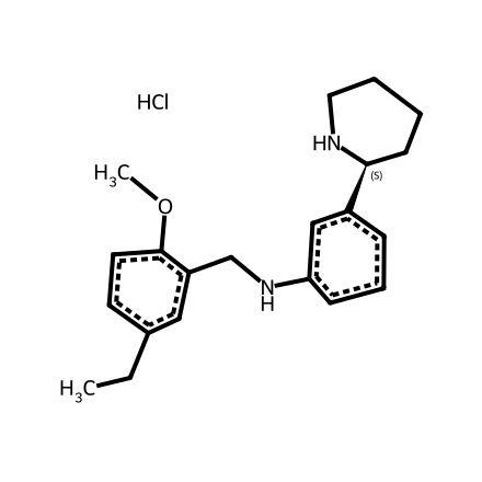 CCc1ccc(OC)c(CNc2cccc([C@@H]3CCCCN3)c2)c1.Cl